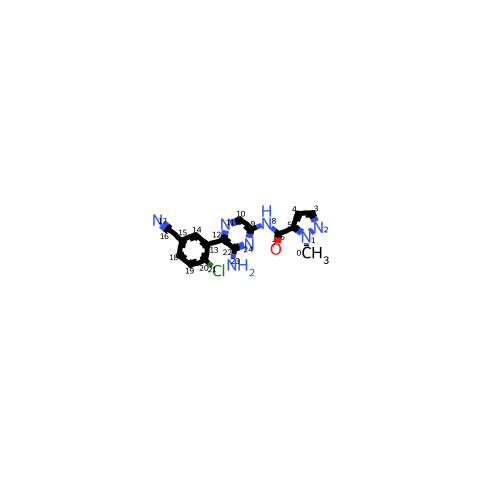 Cn1nccc1C(=O)Nc1cnc(-c2cc(C#N)ccc2Cl)c(N)n1